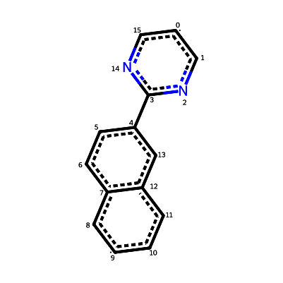 [c]1cnc(-c2ccc3c[c]ccc3c2)nc1